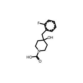 O=C(O)N1CCC(O)(Cc2ccccc2F)CC1